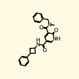 CN(Cc1ccccc1)C(=O)c1cc(C(=O)NC2CC(c3ccccc3)C2)c[nH]c1=O